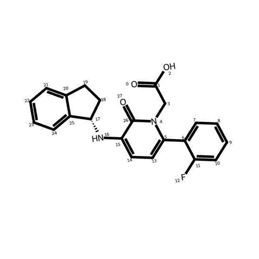 O=C(O)Cn1c(-c2ccccc2F)ccc(N[C@H]2CCc3ccccc32)c1=O